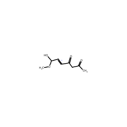 COC(O)/C=C/C(=O)CC(C)=O